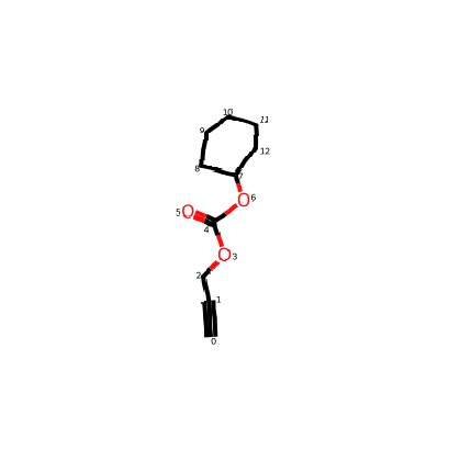 C#CCOC(=O)OC1CCCCC1